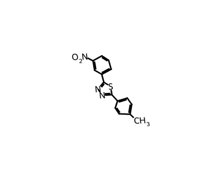 Cc1ccc(-c2nnc(-c3cccc([N+](=O)[O-])c3)s2)cc1